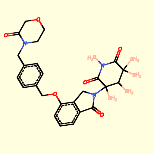 BC1C(B)(B)C(=O)N(B)C(=O)C1(B)N1Cc2c(OCc3ccc(CN4CCOCC4=O)cc3)cccc2C1=O